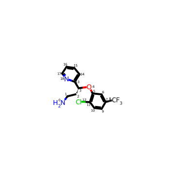 NCC[C@@H](Oc1cc(C(F)(F)F)ccc1Cl)c1ccccn1